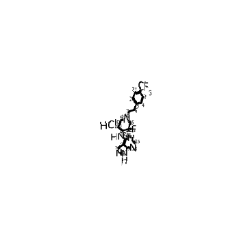 Cl.FC(F)(F)c1ccc(CCN2CC[C@@H](Nc3ncnc4[nH]ncc34)C(F)(F)C2)cc1